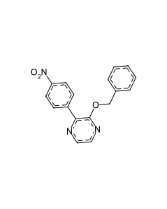 O=[N+]([O-])c1ccc(-c2nccnc2OCc2ccccc2)cc1